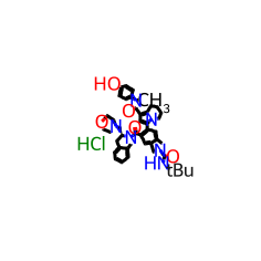 CN(C(=O)c1cc(-c2cc3c(cc2C(=O)N2Cc4ccccc4C[C@H]2CN2CCOCC2)CN(C(=O)NC(C)(C)C)C3)n2c1CCCC2)c1ccc(O)cc1.Cl